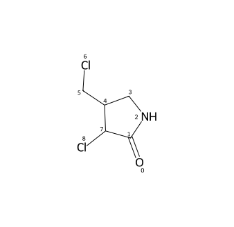 O=C1NCC(CCl)C1Cl